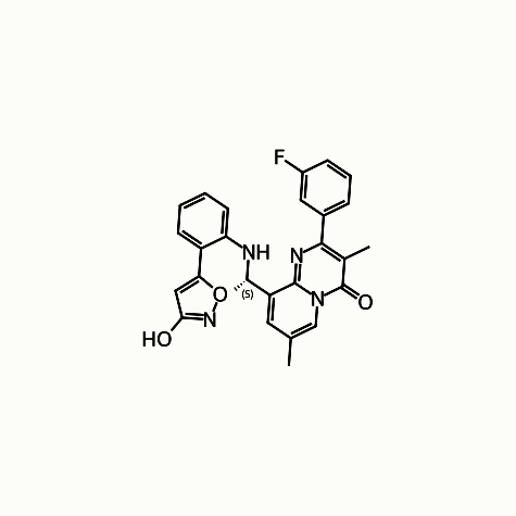 Cc1cc([C@H](C)Nc2ccccc2-c2cc(O)no2)c2nc(-c3cccc(F)c3)c(C)c(=O)n2c1